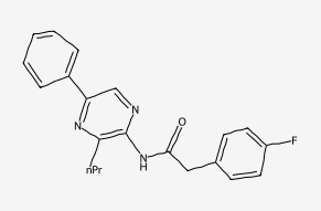 CCCc1nc(-c2ccccc2)cnc1NC(=O)Cc1ccc(F)cc1